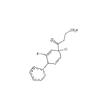 O=C(O)CCC(=O)C1(Cl)C=CC(c2ccccc2)C(F)=C1